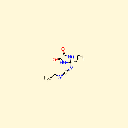 CCN=C=NC(CC)(NC=O)NC=O